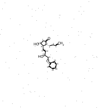 C=CCC[C@H]1C(=O)C[C@@H](O)[C@@H]1/C=C/[C@@H](O)COc1ccccc1